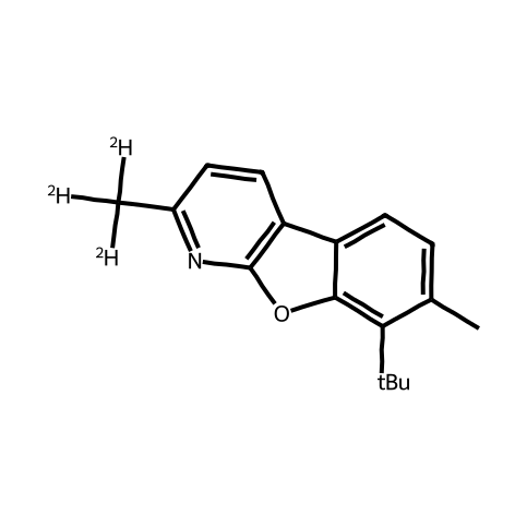 [2H]C([2H])([2H])c1ccc2c(n1)oc1c(C(C)(C)C)c(C)ccc12